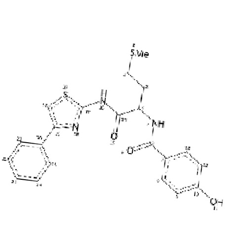 CSCCC(NC(=O)c1ccc(O)cc1)C(=O)Nc1nc(-c2ccccc2)cs1